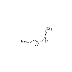 OCCNC1OC1CO